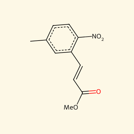 COC(=O)/C=C/c1cc(C)ccc1[N+](=O)[O-]